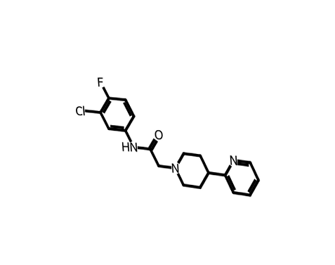 O=C(CN1CCC(c2ccccn2)CC1)Nc1ccc(F)c(Cl)c1